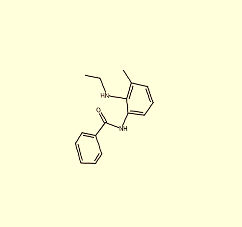 CCNc1c(C)cccc1NC(=O)c1ccccc1